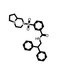 O=C(NCC(c1ccccc1)c1ccccc1)c1cccc(S(=O)(=O)N2CCN3CCCC3C2)c1